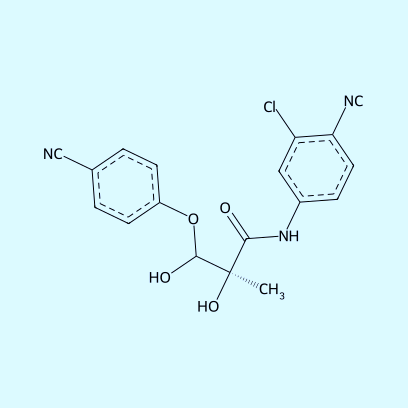 [C-]#[N+]c1ccc(NC(=O)[C@@](C)(O)C(O)Oc2ccc(C#N)cc2)cc1Cl